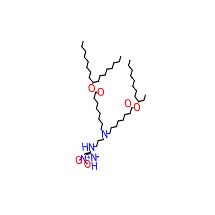 CCCCCCCCC(CC)OC(=O)CCCCCCCN(CCCCCCCC(=O)OC(CCCCCCCC)CCCCCCCC)CCCN/C(=C/[N+](=O)[O-])NC